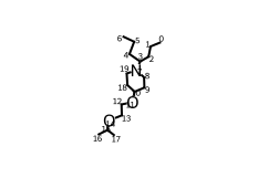 CCCC(CCC)N1CCC(OCCOC(C)C)CC1